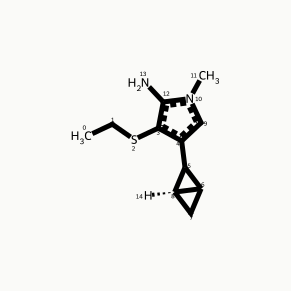 CCSc1c(C2C3C[C@H]32)cn(C)c1N